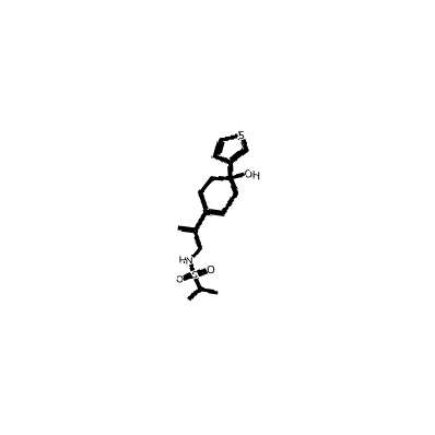 CC(CNS(=O)(=O)C(C)C)C1CCC(O)(c2ccsc2)CC1